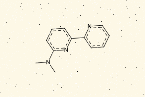 CN(C)c1cccc(-c2ccccn2)n1